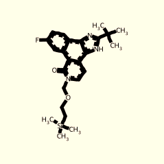 CC(C)(C)c1nc2c3ccc(F)cc3c3c(=O)n(COCC[Si](C)(C)C)ccc3c2[nH]1